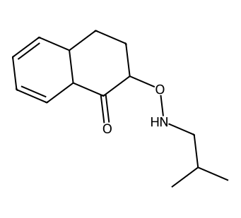 CC(C)CNOC1CCC2C=CC=CC2C1=O